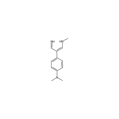 CN/C=C(\C=N)c1ccc(N(C)C)cc1